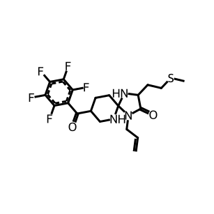 C=CCN1C(=O)C(CCSC)NC12CCC(C(=O)c1c(F)c(F)c(F)c(F)c1F)CN2